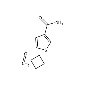 C1CCC1.C=O.NC(=O)c1ccsc1